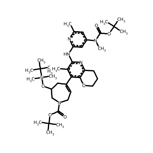 Cc1cc(N(C)C(=O)OC(C)(C)C)cc(Nc2nc3c(c(C4=CCN(C(=O)OC(C)(C)C)CC(O[Si](C)(C)C(C)(C)C)C4)c2C)OCCC3)n1